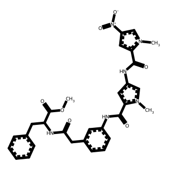 COC(=O)C(Cc1ccccc1)NC(=O)Cc1cccc(NC(=O)c2cc(NC(=O)c3cc([N+](=O)[O-])cn3C)cn2C)c1